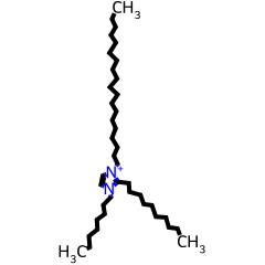 CCCCCCCCCCCCCCCCCCC[n+]1ccn(CCCCCCCC)c1CCCCCCCCCC